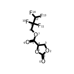 O=C1OCC(C(=O)OCC(F)(F)C(F)F)O1